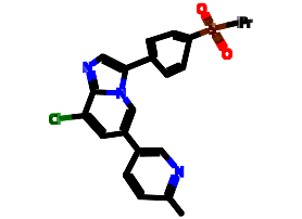 Cc1ccc(-c2cc(Cl)c3ncc(-c4ccc(S(=O)(=O)C(C)C)cc4)n3c2)cn1